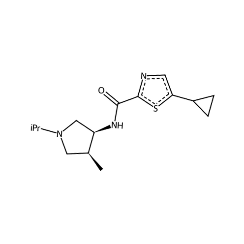 CC(C)N1C[C@H](C)[C@H](NC(=O)c2ncc(C3CC3)s2)C1